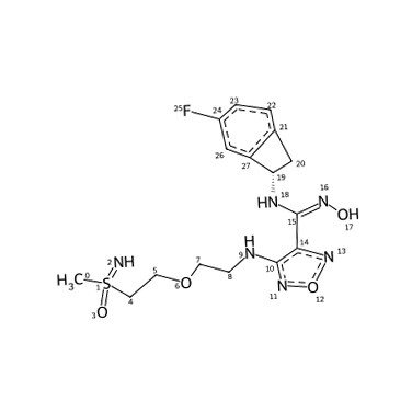 CS(=N)(=O)CCOCCNc1nonc1/C(=N\O)N[C@H]1Cc2ccc(F)cc21